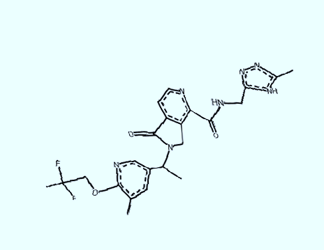 Cc1nnc(CNC(=O)c2nccc3c2CN(C(C)c2cnc(OCC(C)(F)F)c(C)c2)C3=O)[nH]1